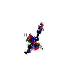 COC(=O)NC(C(=O)NC(Cc1ccc(C#Cc2ccc(N3C[C@H]4C[C@@H]3CN4C3COC3)nc2)cc1)C(O)CN(Cc1c(F)cc(-c2nnc(C3CC3)s2)cc1F)NC(=O)C(NC(=O)O)C(C)(C)C(F)(F)F)C(C)(C)C(F)(F)F